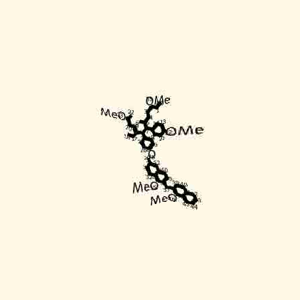 C=C/C(=C\C=C(/C)C(c1ccc(OC)cc1)C(/C(C=C)=C/C=C(\C)OC)c1ccc(OCc2ccc3c(OC)c(Cc4ccc5ccccc5c4OC)ccc3c2)cc1)OC